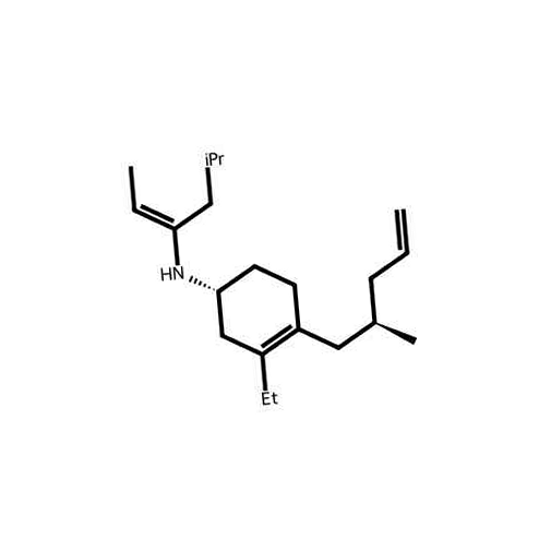 C=CC[C@@H](C)CC1=C(CC)C[C@H](N/C(=C/C)CC(C)C)CC1